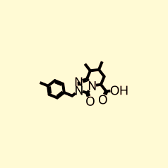 Cc1ccc(Cn2nc3n(c2=O)C(C(=O)O)CC(C)C3C)cc1